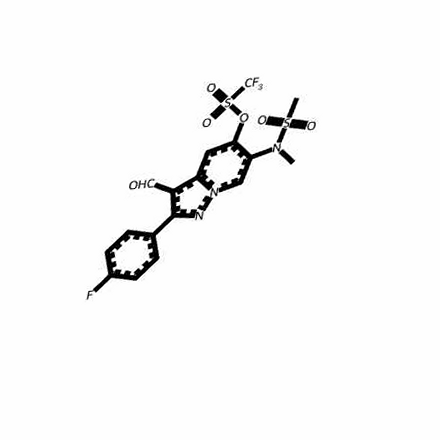 CN(c1cn2nc(-c3ccc(F)cc3)c(C=O)c2cc1OS(=O)(=O)C(F)(F)F)S(C)(=O)=O